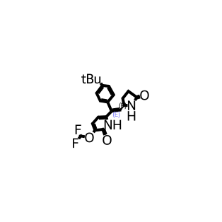 CC(C)(C)c1ccc(/C(=C\[C@H]2CCC(=O)N2)c2ccc(OC(F)F)c(=O)[nH]2)cc1